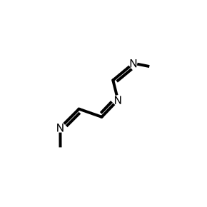 C\N=C/C=N\C=N/C